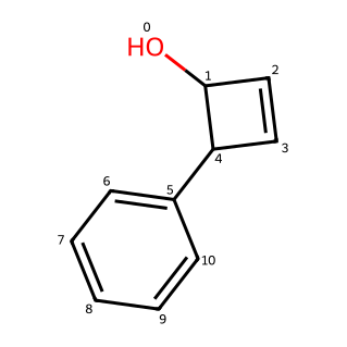 OC1C=CC1c1ccccc1